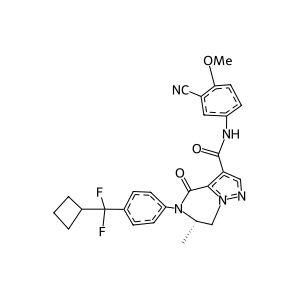 COc1ccc(NC(=O)c2cnn3c2C(=O)N(c2ccc(C(F)(F)C4CCC4)cc2)[C@@H](C)C3)cc1C#N